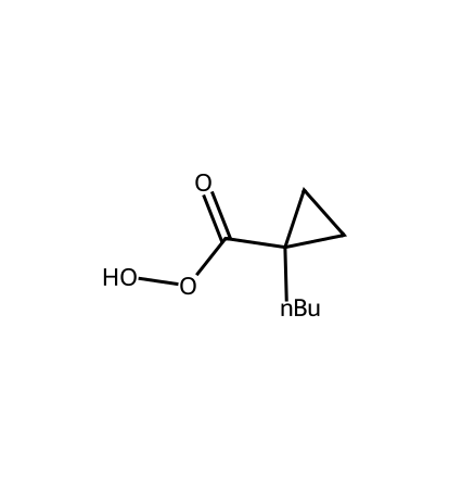 CCCCC1(C(=O)OO)CC1